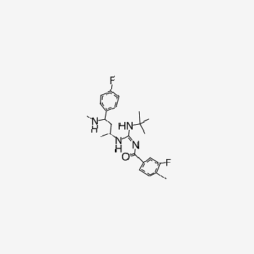 CNC(CC(C)N/C(=N\C(=O)c1ccc(C)c(F)c1)NC(C)(C)C)c1ccc(F)cc1